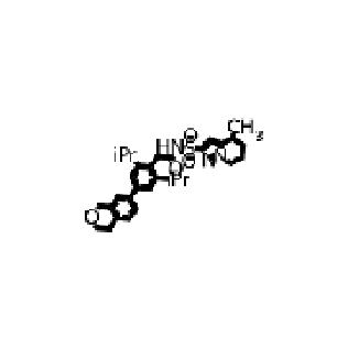 CC(C)c1cc(-c2ccc3c(c2)COCC3)cc(C(C)C)c1CC(=O)NS(=O)(=O)c1cc2n(n1)CCCC2C